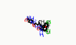 CC(CCC(=O)N1CCC(C(N)=O)CC1)CNC1(Cc2cccc(Cl)c2)C(=O)Nc2cc(Cl)ccc21